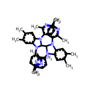 Cc1ccc(N2c3cc(C)c(C)cc3N(c3ccc(C)nc3C)C2C2N(c3ccc(C)nc3C)c3cc(C)c(C)cc3N2c2ccc(C)nc2C)c(C)n1